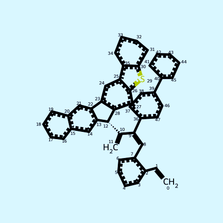 C=Cc1ccccc1/C=C(\C(=C)[C@@H]1c2cc3ccccc3cc2-c2cc3c(cc21)sc1ccccc13)c1ccc(-c2ccccc2)cc1